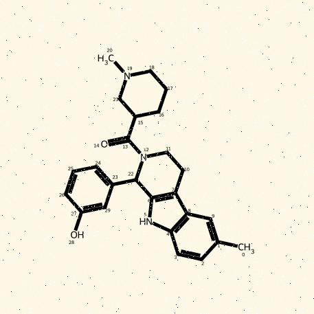 Cc1ccc2[nH]c3c(c2c1)CCN(C(=O)C1CCCN(C)C1)C3c1cccc(O)c1